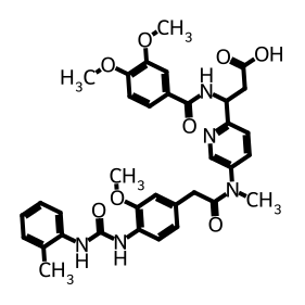 COc1cc(CC(=O)N(C)c2ccc(C(CC(=O)O)NC(=O)c3ccc(OC)c(OC)c3)nc2)ccc1NC(=O)Nc1ccccc1C